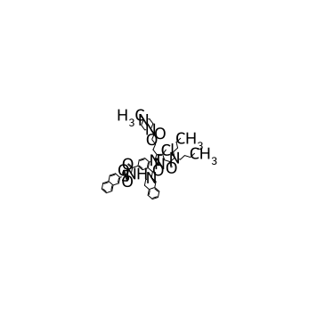 CCCCN(CCCC)C(=O)c1nn(-c2ccc(C(=O)NS(=O)(=O)c3ccc4ccccc4c3)cc2C(=O)N2CCc3ccccc3C2)c(CCOC(=O)N2CCN(C)CC2)c1Cl